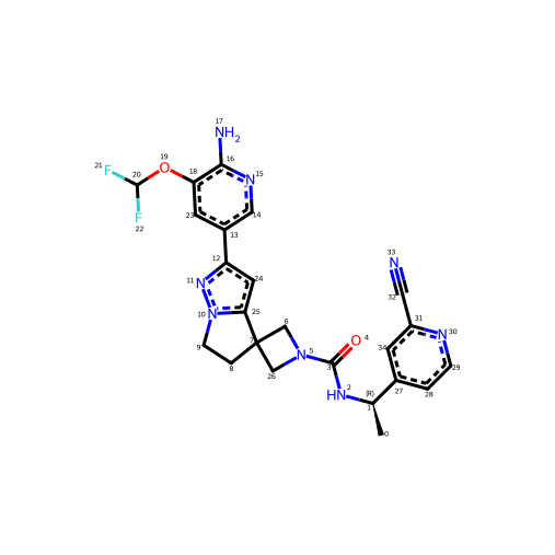 C[C@@H](NC(=O)N1CC2(CCn3nc(-c4cnc(N)c(OC(F)F)c4)cc32)C1)c1ccnc(C#N)c1